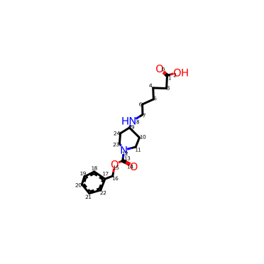 O=C(O)CCCCCNC1CCN(C(=O)OCc2ccccc2)CC1